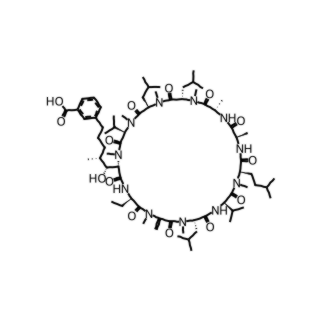 C=C1C(=O)N(C)[C@@H](CC(C)C)C(=O)N[C@H](C(C)C)C(=O)N(C)[C@H](CCC(C)C)C(=O)N[C@H](C)C(=O)N[C@@H](C)C(=O)N(C)[C@@H](CC(C)C)C(=O)N(C)[C@H](CC(C)C)C(=O)N(C)[C@H](C(C)C)C(=O)N(C)[C@@H]([C@H](O)[C@H](C)CCCc2cccc(C(=O)O)c2)C(=O)N[C@H](CC)C(=O)N1C